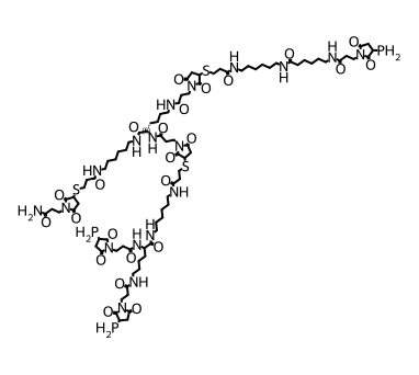 NC(=O)CCN1C(=O)CC(SCCC(=O)NCCCCCCNC(=O)[C@H](CCCCNC(=O)CCN2C(=O)CC(SCCC(=O)NCCCCCCNC(=O)CCCCCNC(=O)CCN3C(=O)CC(P)C3=O)C2=O)NC(=O)CCN2C(=O)CC(SCCC(=O)NCCCCCCNC(=O)C(CCCCNC(=O)CCN3C(=O)CC(P)C3=O)NC(=O)CCN3C(=O)CC(P)C3=O)C2=O)C1=O